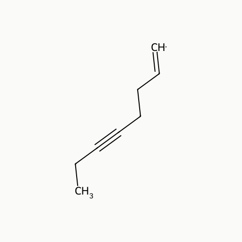 [CH]=CCCC#CCC